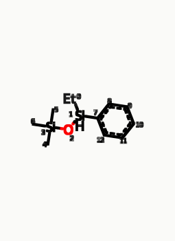 CC[SiH](O[Si](C)(C)C)c1ccccc1